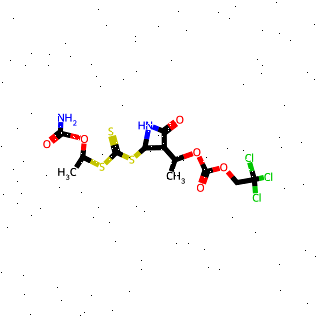 CC(OC(N)=O)SC(=S)SC1NC(=O)C1C(C)OC(=O)OCC(Cl)(Cl)Cl